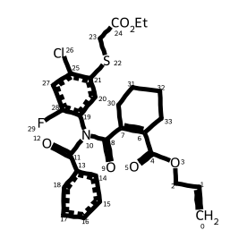 C=CCOC(=O)C1=C(C(=O)N(C(=O)c2ccccc2)c2cc(SCC(=O)OCC)c(Cl)cc2F)CCCC1